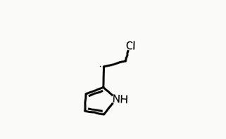 ClC[CH]c1ccc[nH]1